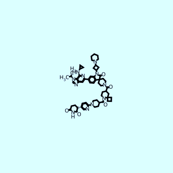 CC(C)n1cnc2cc(-c3ccc4c(c3)N(C3CC(N5CCCCC5)C3)C(=O)C43CCN(C(=O)C4CCN(C(=O)C5CCN(c6ccc([C@H]7CCC(=O)NC7=O)cn6)CC5)C5(CCC5)C4)CC3)nc(NC3CC3)c21